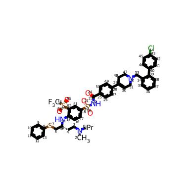 CC(C)N(C)CC[C@H](CSc1ccccc1)Nc1ccc(S(=O)(=O)NC(=O)c2ccc(C3=CCN(Cc4ccccc4-c4ccc(Cl)cc4)CC3)cc2)cc1S(=O)(=O)C(F)(F)F